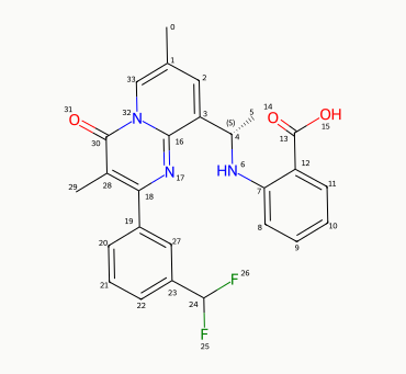 Cc1cc([C@H](C)Nc2ccccc2C(=O)O)c2nc(-c3cccc(C(F)F)c3)c(C)c(=O)n2c1